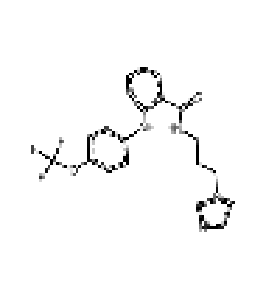 O=C(NCCCn1ccnc1)c1ccccc1Nc1ccc(OC(F)(F)F)cc1